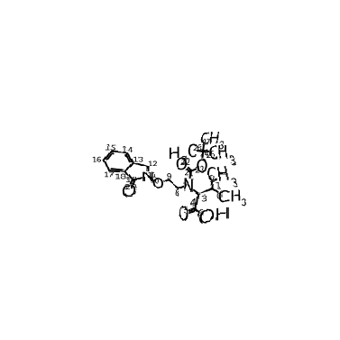 CC(C)[C@@H](C(=O)O)N(CCON1Cc2ccccc2C1=O)C(=O)OC(C)(C)C